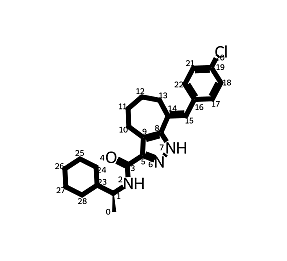 C[C@H](NC(=O)c1n[nH]c2c1CCCC/C2=C\c1ccc(Cl)cc1)C1CCCCC1